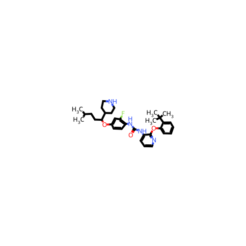 CC(C)CCC(Oc1ccc(NC(=O)Nc2cccnc2Oc2ccccc2C(C)(C)C)c(F)c1)C1CCNCC1